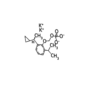 CC(C)c1cccc([C@H](C)C2CC2)c1OCOP(=O)([O-])[O-].[K+].[K+]